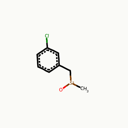 C[S+]([O-])Cc1cccc(Cl)c1